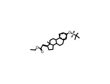 CCOC(=O)C=C1CCC2C3CCc4cc(O[Si](C)(C)C(C)(C)C)ccc4C3CCC12C